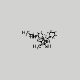 C=CCN[C@@H]1CCC[C@@H]([C@@]2(CCC3CCCCC3)NC(=N)N(C)C2=O)C1